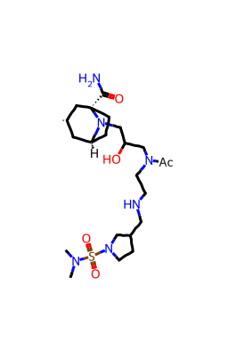 CC(=O)N(CCNCC1CCN(S(=O)(=O)N(C)C)C1)CC(O)CN1[C@@H]2C[CH]C[C@@]1(C(N)=O)CC2